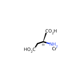 N[C@@H](CC(=O)O)C(=O)O.[Cr]